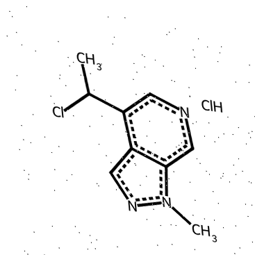 CC(Cl)c1cncc2c1cnn2C.Cl